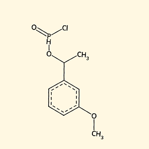 COc1cccc(C(C)O[PH](=O)Cl)c1